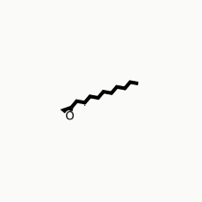 CCCCCCCC[CH]CC1CO1